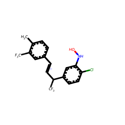 Cc1ccc(/C=C/C(c2ccc(Cl)c(NO)c2)C(F)(F)F)cc1C(F)(F)F